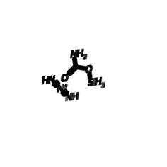 N=[N+]=N.NC(=O)O[SiH3]